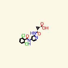 O=C(Nc1ccnc(NC(=O)[C@@H]2C[C@@H]2C(=O)O)c1)c1c(Cl)cccc1Cl